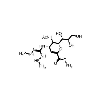 CC(=O)N[C@H]1[C@H]([C@H](O)[C@H](O)CO)OC(C(=O)OP)=C[C@@H]1N/C(=N/PP)NPP